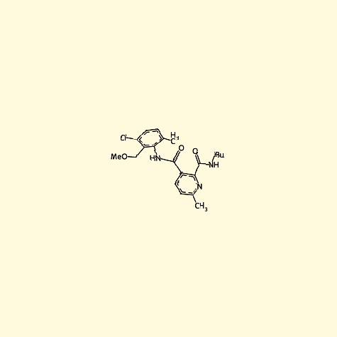 CCC(C)NC(=O)c1nc(C)ccc1C(=O)Nc1c(C)ccc(Cl)c1COC